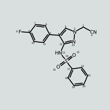 N#CCn1cc(-c2ccc(F)cc2)c(NS(=O)(=O)c2ccccc2)n1